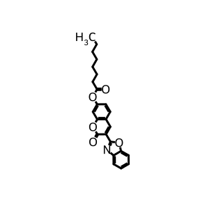 CCCCCCCC(=O)Oc1ccc2cc(-c3nc4ccccc4o3)c(=O)oc2c1